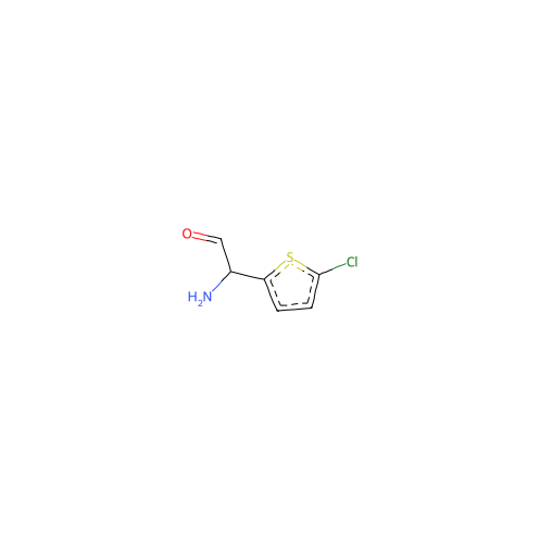 NC(C=O)c1ccc(Cl)s1